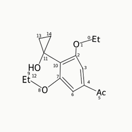 CCOc1cc(C(C)=O)cc(OCC)c1C1(O)CC1